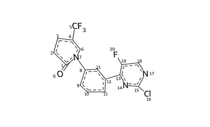 O=c1ccc(C(F)(F)F)cn1-c1cccc(-c2nc(Cl)ncc2F)c1